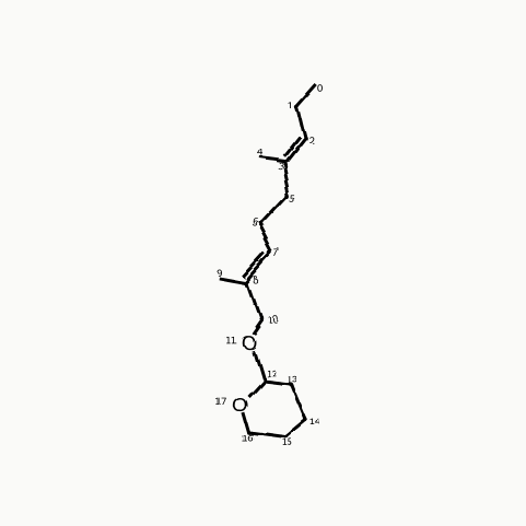 CC/C=C(\C)CC/C=C(\C)COC1CCCCO1